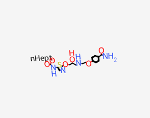 CCCCCCCOC(=O)Nc1cnc(OCC(O)CNCCOc2ccc(C(N)=O)cc2)s1